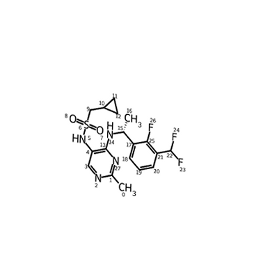 Cc1ncc(NS(=O)(=O)CC2CC2)c(N[C@H](C)c2cccc(C(F)F)c2F)n1